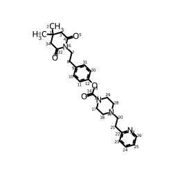 CC1(C)CC(=O)N(CCc2ccc(OC(=O)N3CCN(CCc4ccccn4)CC3)cc2)C(=O)C1